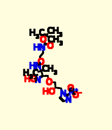 CC(C)(C)OC(=O)NCCONC(C)(C)C(COCC(O)Cn1ccnc1[N+](=O)[O-])=NO